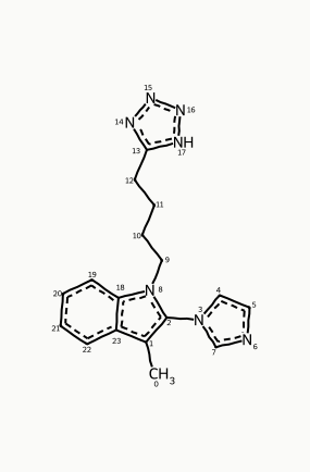 Cc1c(-n2ccnc2)n(CCCCc2nnn[nH]2)c2ccccc12